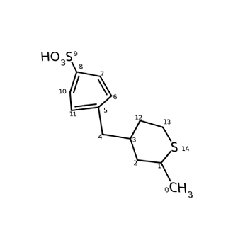 CC1CC(Cc2ccc(S(=O)(=O)O)cc2)CCS1